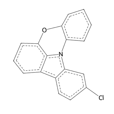 Clc1ccc2c3cccc4c3n(c2c1)-c1ccccc1O4